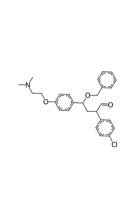 CN(C)CCOc1ccc(C(CC(C=O)c2ccc(Cl)cc2)OCc2ccccc2)cc1